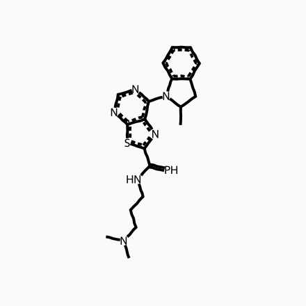 CC1Cc2ccccc2N1c1ncnc2sc(C(=P)NCCCN(C)C)nc12